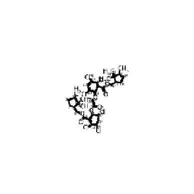 CC1CCC(COC(=O)c2c(Cl)c(Cl)cc(Cl)c2OC(=O)C(=O)Oc2c(Cl)cc(Cl)c(Cl)c2C(=O)OCC2CCC(C)C2(C)C)C1(C)C